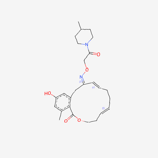 Cc1cc(O)cc2c1C(=O)OCC/C=C/CC/C=C/C(=N\OCC(=O)N1CCC(C)CC1)C2